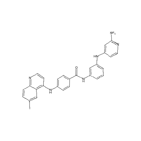 Cc1ccc2nccc(Nc3ccc(C(=O)Nc4cccc(Nc5ccnc(N)c5)c4)cc3)c2c1